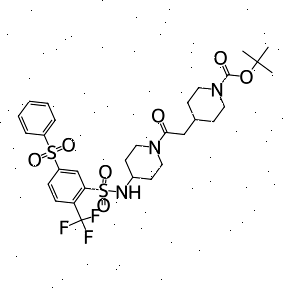 CC(C)(C)OC(=O)N1CCC(CC(=O)N2CCC(NS(=O)(=O)c3cc(S(=O)(=O)c4ccccc4)ccc3C(F)(F)F)CC2)CC1